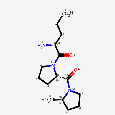 N[C@@H](CCC(=O)O)C(=O)N1CCC[C@H]1C(=O)N1CCC[C@H]1C(=O)O